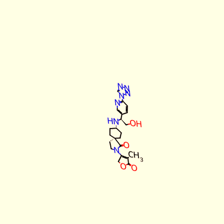 CC1=C(N2CC[C@]3(CC[C@@H](N[C@H](CO)c4ccc(-n5cnnn5)nc4)CC3)C2=O)COC1=O